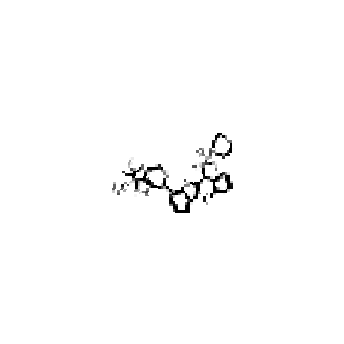 C[C@@](O)(c1ccnc(-c2cccc3cc(C(NS(=O)(=O)N4CCOCC4)c4ccccc4Cl)sc23)c1)C(F)(F)F